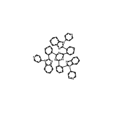 c1ccc(-c2nc3ccccc3n2-c2ccncc2)c(-c2nc(-c3ccccc3-c3nc4ccccc4n3-c3ccncc3)nc(-c3ccccc3-c3nc4ccccc4n3-c3ccncc3)n2)c1